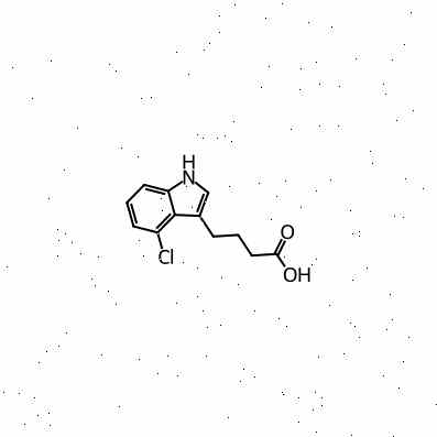 O=C(O)CCCc1c[nH]c2cccc(Cl)c12